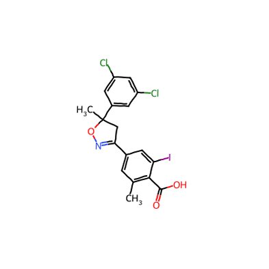 Cc1cc(C2=NOC(C)(c3cc(Cl)cc(Cl)c3)C2)cc(I)c1C(=O)O